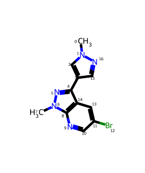 Cn1cc(-c2nn(C)c3ncc(Br)cc23)cn1